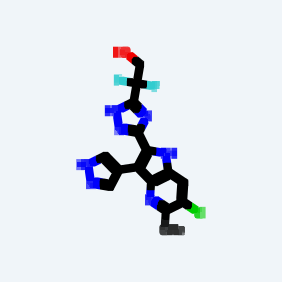 COc1nc2c(-c3cn[nH]c3)c(-c3n[nH]c(C(F)(F)CO)n3)[nH]c2cc1Cl